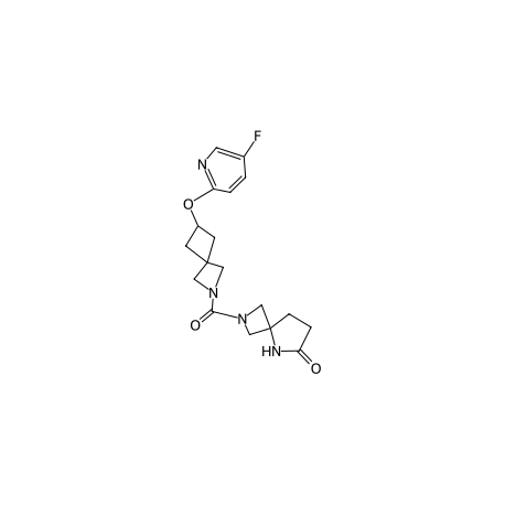 O=C1CCC2(CN(C(=O)N3CC4(CC(Oc5ccc(F)cn5)C4)C3)C2)N1